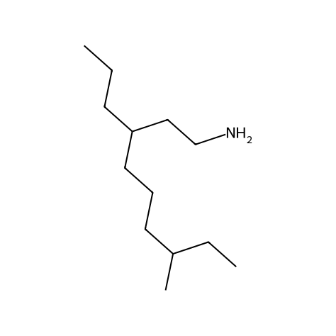 CCCC(CCN)CCCC(C)CC